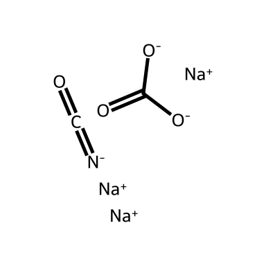 O=C([O-])[O-].[N-]=C=O.[Na+].[Na+].[Na+]